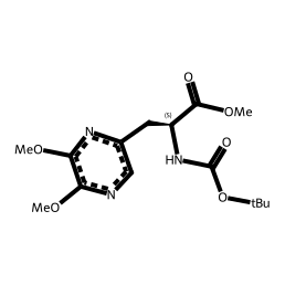 COC(=O)[C@H](Cc1cnc(OC)c(OC)n1)NC(=O)OC(C)(C)C